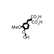 COc1cc(C=C(C(=O)O)C(=O)O)ccc1OCO